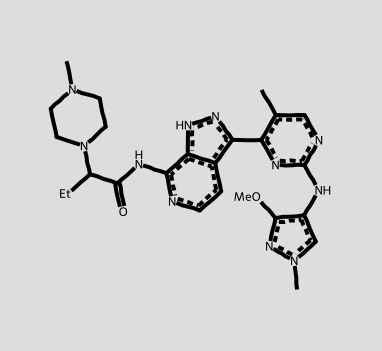 CCC(C(=O)Nc1nccc2c(-c3nc(Nc4cn(C)nc4OC)ncc3C)n[nH]c12)N1CCN(C)CC1